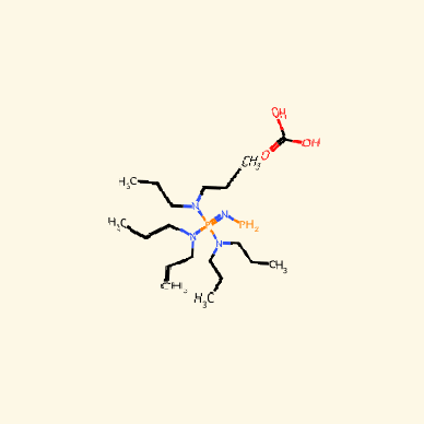 CCCN(CCC)P(=NP)(N(CCC)CCC)N(CCC)CCC.O=C(O)O